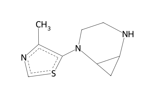 Cc1ncsc1N1CCNC2CC21